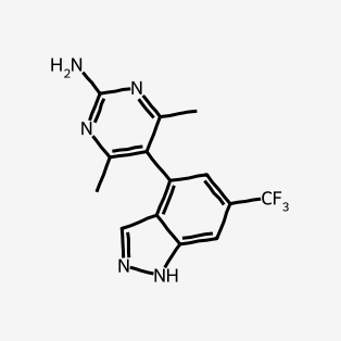 Cc1nc(N)nc(C)c1-c1cc(C(F)(F)F)cc2[nH]ncc12